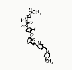 CC(=O)N1CC(NC(=O)Nc2ccc(Oc3ccnc4cc(-c5ccc(CN6CCN(C)CC6)cn5)sc34)c(F)c2)C1